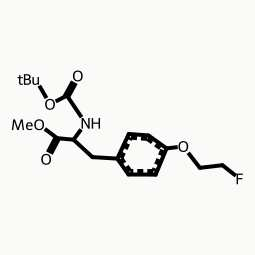 COC(=O)C(Cc1ccc(OCCF)cc1)NC(=O)OC(C)(C)C